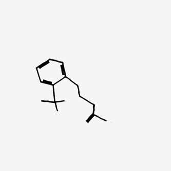 CC(F)(F)c1ccccc1CCCC(=O)O